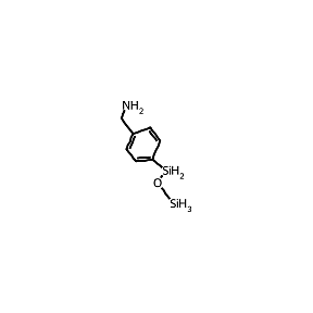 NCc1ccc([SiH2]O[SiH3])cc1